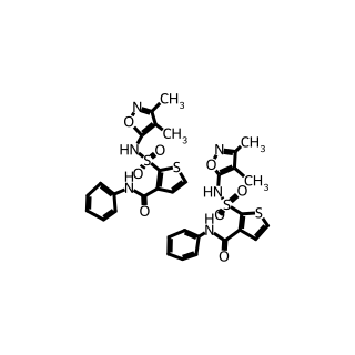 Cc1noc(NS(=O)(=O)c2sccc2C(=O)Nc2ccccc2)c1C.Cc1noc(NS(=O)(=O)c2sccc2C(=O)Nc2ccccc2)c1C